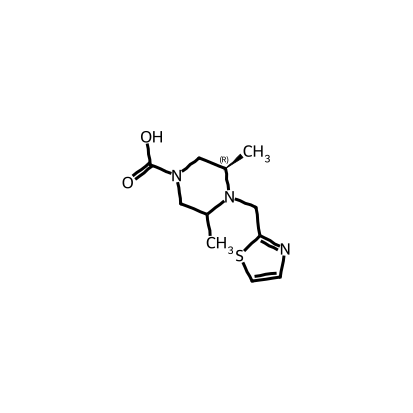 CC1CN(C(=O)O)C[C@@H](C)N1Cc1nccs1